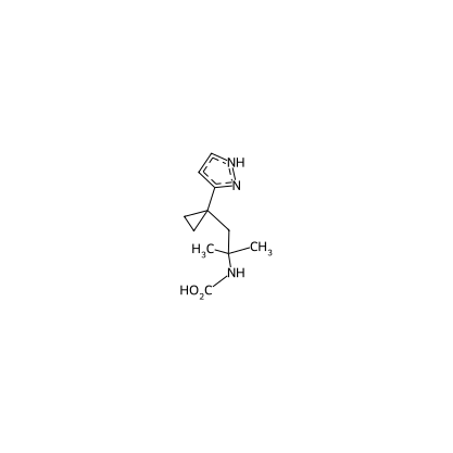 CC(C)(CC1(c2cc[nH]n2)CC1)NC(=O)O